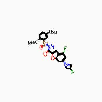 COc1ccc(C(C)(C)C)cc1[S+]([O-])NC(=O)c1cc2c(F)cc(N3CC(F)C3)cc2o1